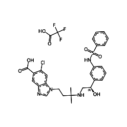 CC(C)(CCn1cnc2cc(C(=O)O)c(Cl)cc21)NC[C@H](O)c1cccc(NS(=O)(=O)c2ccccc2)c1.O=C(O)C(F)(F)F